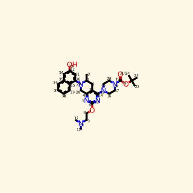 CC1Cc2c(nc(OCCN(C)C)nc2N2CCN(C(=O)OC(C)(C)C)CC2)CN1c1cc(O)cc2ccccc12